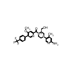 COc1cc(C(=O)N2CCN(c3cnc(N)cc3C)C[C@@H]2CO)ncc1-c1ccc(C(F)(F)F)cc1